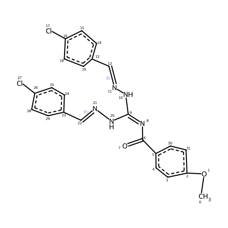 COc1ccc(C(=O)N=C(N/N=C/c2ccc(Cl)cc2)N/N=C/c2ccc(Cl)cc2)cc1